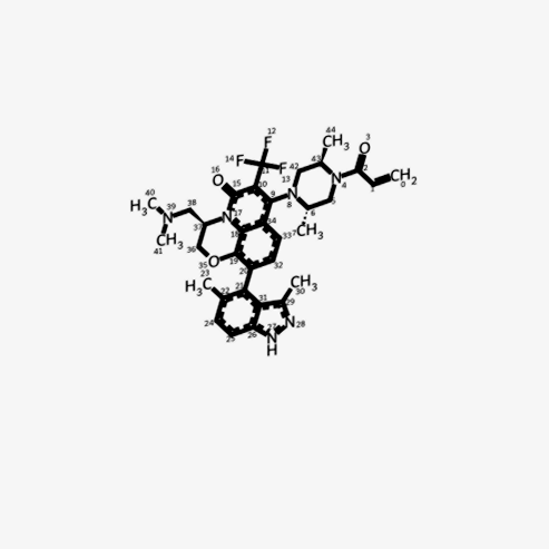 C=CC(=O)N1C[C@H](C)N(c2c(C(F)(F)F)c(=O)n3c4c(c(-c5c(C)ccc6[nH]nc(C)c56)ccc24)OC[C@H]3CN(C)C)C[C@H]1C